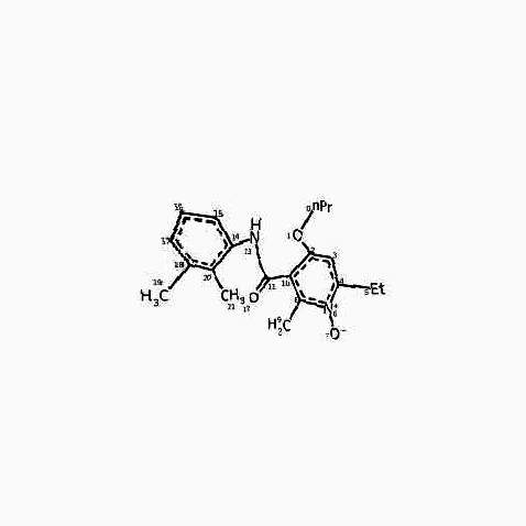 CCCOc1cc(CC)[n+]([O-])c(C)c1C(=O)Nc1cccc(C)c1C